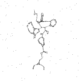 CCN(CC)CCOC(=O)c1ccc(NC(=O)C2c3ccccc3C(=O)N(CCOC)C2c2c[nH]c3ccccc23)cc1